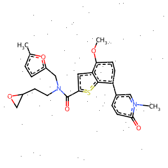 COc1ccc(-c2ccc(=O)n(C)c2)c2sc(C(=O)N(CCC3CO3)Cc3ccc(C)o3)cc12